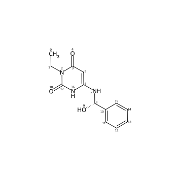 CCn1c(=O)cc(N[C@@H](O)c2ccccc2)[nH]c1=O